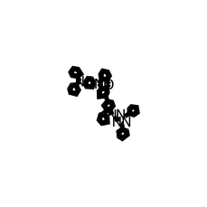 c1ccc(-c2nc(-c3ccccc3)nc(-n3c4ccccc4c4cc(-c5ccc6c(c5)Oc5ccccc5N6c5ccc(N(c6ccccc6)c6ccccc6)cc5)ccc43)n2)cc1